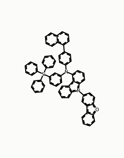 c1ccc([Si](c2ccccc2)(c2ccccc2)c2cccc(N(c3ccc(-c4cccc5ccccc45)cc3)c3cccc4c3c3ccccc3n4-c3ccc4oc5ccccc5c4c3)c2)cc1